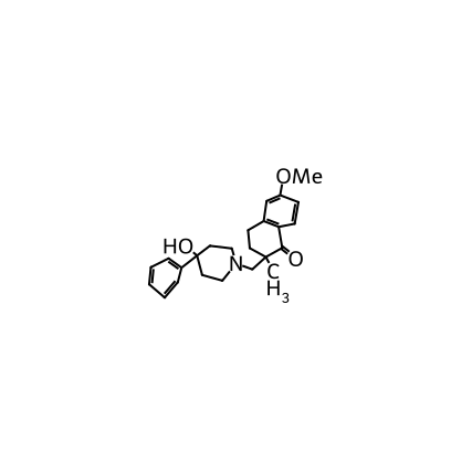 COc1ccc2c(c1)CCC(C)(CN1CCC(O)(c3ccccc3)CC1)C2=O